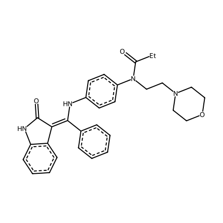 CCC(=O)N(CCN1CCOCC1)c1ccc(N/C(=C2\C(=O)Nc3ccccc32)c2ccccc2)cc1